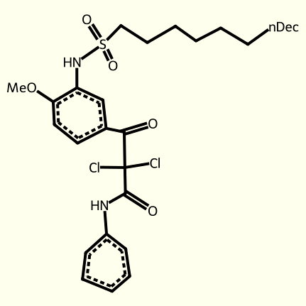 CCCCCCCCCCCCCCCCS(=O)(=O)Nc1cc(C(=O)C(Cl)(Cl)C(=O)Nc2ccccc2)ccc1OC